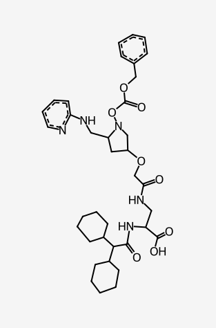 O=C(COC1CC(CNc2ccccn2)N(OC(=O)OCc2ccccc2)C1)NCC(NC(=O)C(C1CCCCC1)C1CCCCC1)C(=O)O